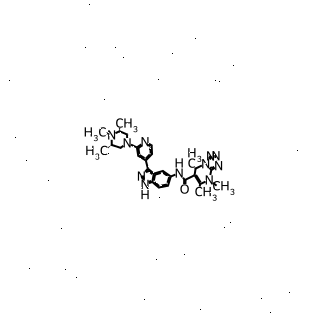 CC1=C(C(=O)Nc2ccc3[nH]nc(-c4ccnc(N5C[C@@H](C)N(C)[C@@H](C)C5)c4)c3c2)[C@H](C)n2nnnc2N1C